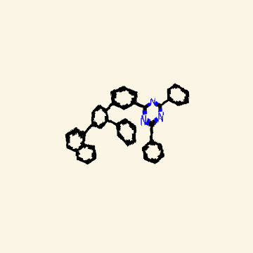 c1ccc(-c2nc(-c3ccccc3)nc(-c3cccc(-c4ccc(-c5cccc6ccccc56)cc4-c4ccccc4)c3)n2)cc1